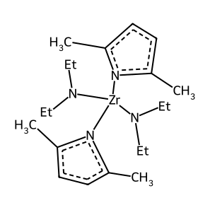 CC[N](CC)[Zr]([N](CC)CC)([n]1c(C)ccc1C)[n]1c(C)ccc1C